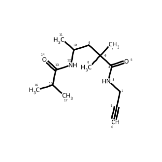 C#CCNC(=O)C(C)(C)CC(C)NC(=O)C(C)C